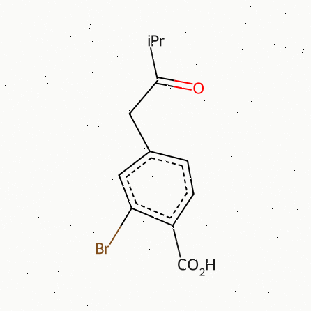 CC(C)C(=O)Cc1ccc(C(=O)O)c(Br)c1